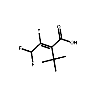 CC(C)(C)/C(C(=O)O)=C(/F)C(F)F